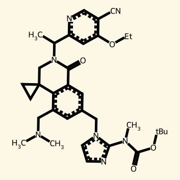 CCOc1cc(C(C)N2CC3(CC3)c3c(CN(C)C)cc(Cn4ccnc4N(C)C(=O)OC(C)(C)C)cc3C2=O)ncc1C#N